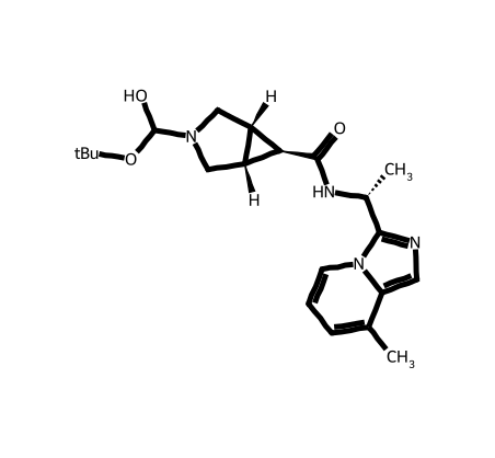 Cc1cccn2c([C@@H](C)NC(=O)[C@H]3[C@@H]4CN(C(O)OC(C)(C)C)C[C@@H]43)ncc12